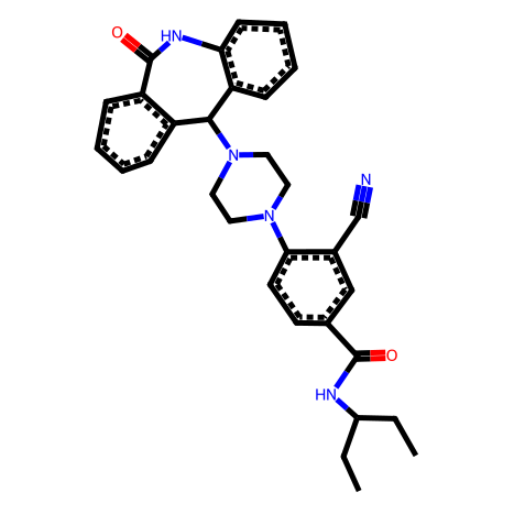 CCC(CC)NC(=O)c1ccc(N2CCN(C3c4ccccc4NC(=O)c4ccccc43)CC2)c(C#N)c1